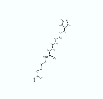 C=CC(=O)OCCCNC(=O)CCCCCCCCn1ccnc1